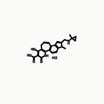 Cl.Cn1c(CNC2(C)CC2)cc2c3c(ccc21)-c1[nH]c(=O)c(C(=O)O)c(O)c1CC=C3